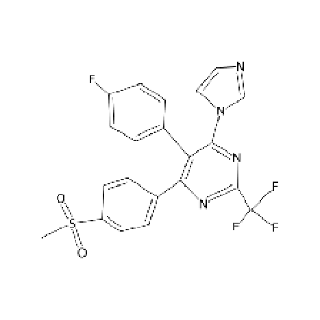 CS(=O)(=O)c1ccc(-c2nc(C(F)(F)F)nc(-n3ccnc3)c2-c2ccc(F)cc2)cc1